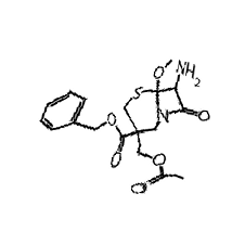 CO[C@]12SCC(COC(C)=O)(C(=O)OCc3ccccc3)CN1C(=O)C2N